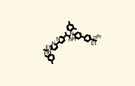 CCCC(C(C)c1ccc(-c2ccc(N(c3ccc(C)cc3C)C(C)(CC)CC)cn2)nc1)N(c1ccc(-c2ccc(C(C)(CC)CCC)cc2)cc1)c1ccc(C)cc1C